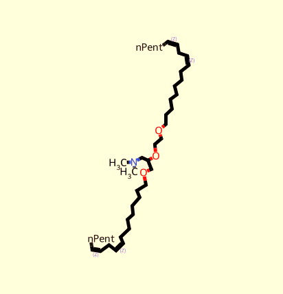 CCCCC/C=C\C/C=C\CCCCCCCCOCCOC(COCCCCCCCC/C=C\C/C=C\CCCCC)CN(C)C